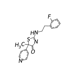 CC1(c2ccncc2)SC(NCCc2ccccc2F)=NC1=O